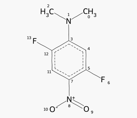 CN(C)c1cc(F)c([N+](=O)[O-])cc1F